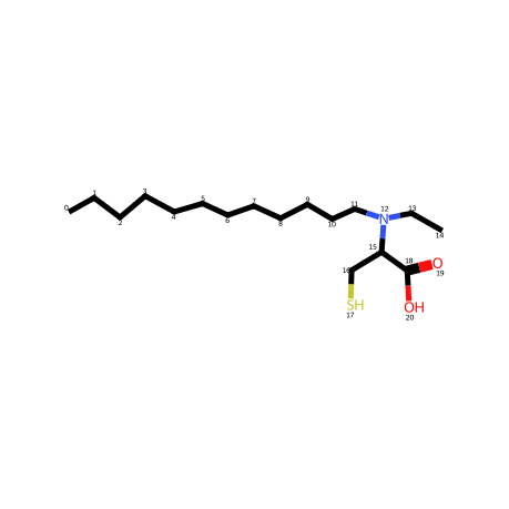 CCCCCCCCCCCCN(CC)C(CS)C(=O)O